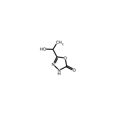 CC(O)c1n[nH]c(=O)o1